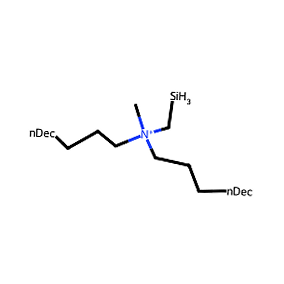 CCCCCCCCCCCCC[N+](C)(C[SiH3])CCCCCCCCCCCCC